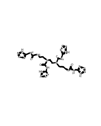 O=C(NCCN(CCN(CCNC(=O)Nc1nnn[nH]1)C(=O)Nc1nnn[nH]1)C(=O)Nc1nnn[nH]1)Nc1nnn[nH]1